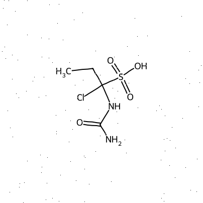 CCC(Cl)(NC(N)=O)S(=O)(=O)O